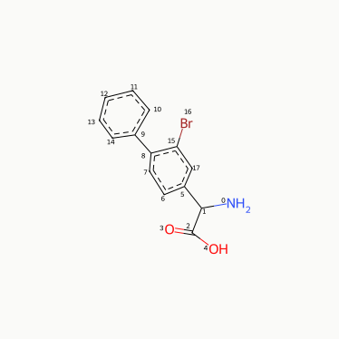 NC(C(=O)O)c1ccc(-c2ccccc2)c(Br)c1